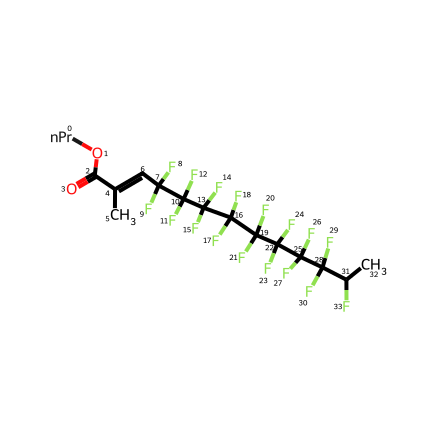 CCCOC(=O)C(C)=CC(F)(F)C(F)(F)C(F)(F)C(F)(F)C(F)(F)C(F)(F)C(F)(F)C(F)(F)C(C)F